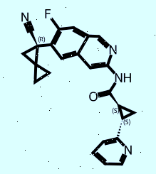 N#C[C@]1(c2cc3cc(NC(=O)[C@H]4C[C@@H]4c4ccccn4)ncc3cc2F)CC12CC2